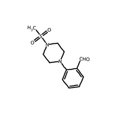 CS(=O)(=O)N1CCN(c2ccccc2C=O)CC1